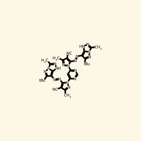 [C-]#[N+]c1c(C)nn(-c2cc(-n3nc(C)c(C#N)c3/N=N/c3c(C(C)(C)C)nn4c(C)n[nH]c34)ncn2)c1/N=N/c1c(C(C)(C)C)nn2c(C)n[nH]c12